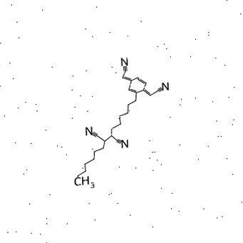 CCCCCCCC(C#N)C(C#N)CCCCCCc1cc(=CC#N)ccc1=CC#N